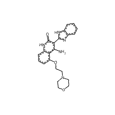 Nc1c(-c2nc3ccccc3[nH]2)c(=O)[nH]c2cccc(OCCN3CCOCC3)c12